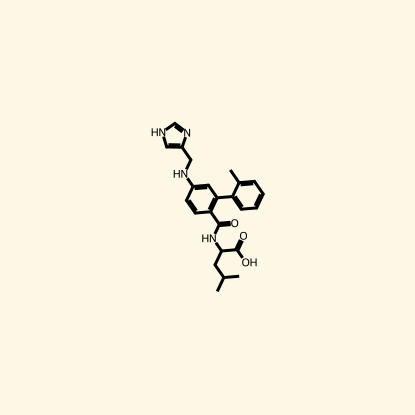 Cc1ccccc1-c1cc(NCc2c[nH]cn2)ccc1C(=O)NC(CC(C)C)C(=O)O